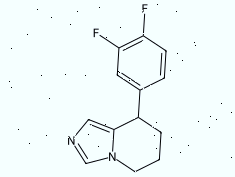 Fc1ccc(C2CCCn3cncc32)cc1F